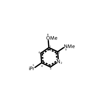 CNc1ncc(C(C)C)cc1OC